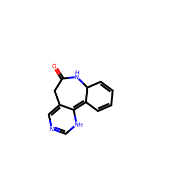 O=C1CC2=CN=CNC2=C2C=CC=CC2N1